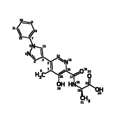 Cc1c(-c2cnn(-c3ccccc3)c2)cnc(C(=O)N[C@H](C)C(=O)O)c1O